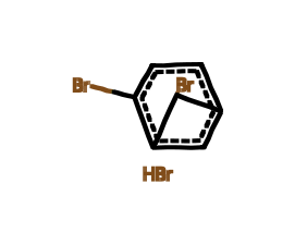 Br.Brc1ccc2cc1C2Br